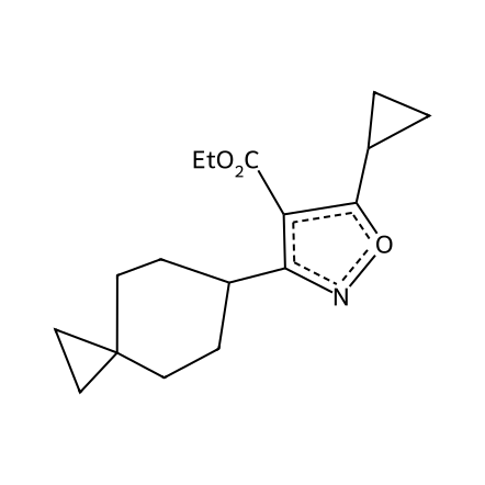 CCOC(=O)c1c(C2CCC3(CC2)CC3)noc1C1CC1